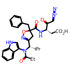 CCC(=O)N(c1c[nH]c2ccccc12)[C@H](C1=NOC(Cc2ccccc2)(C(=O)N[C@@H](CC(=O)O)C(=O)C=[N+]=[N-])C1)C(C)C